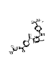 COC(=O)CNC(=O)c1ccc(Nc2ncc(F)c(Nc3ccc(C(N)=O)cc3)n2)cc1